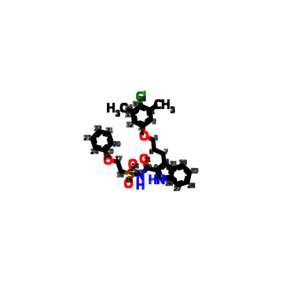 Cc1cc(OCCCc2c(C(=O)NS(=O)(=O)CCOc3ccccc3)[nH]c3ccccc23)cc(C)c1Cl